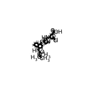 CC(C)(C)OC(=O)Nc1ccc(Oc2ccnc(Nc3cc(Cl)cc(C(=O)O)c3)n2)c2ccccc12